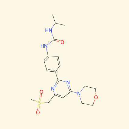 CC(C)NC(=O)Nc1ccc(-c2nc(CS(C)(=O)=O)cc(N3CCOCC3)n2)cc1